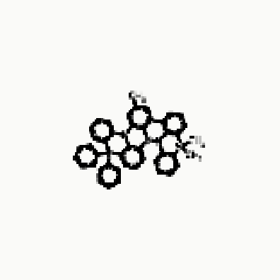 Cc1cc2c3c(c1)N1c4ccccc4C(c4ccccc4)(c4ccccc4)c4cccc(c41)B3N1c3ccccc3[Si](C)(C)c3cccc-2c31